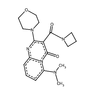 CN(C)c1cccc2nc(N3CCOCC3)c(C(=O)N3CCC3)c(=O)n12